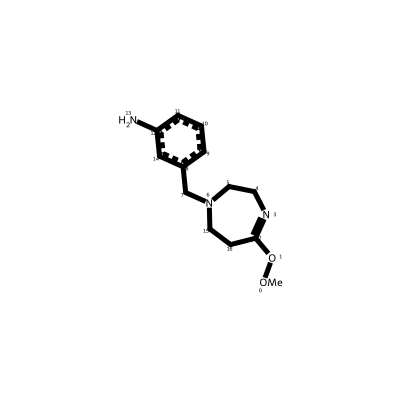 COOC1=NCCN(Cc2cccc(N)c2)CC1